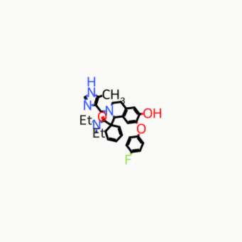 CCN(CC)C(=O)C1(C2c3cc(Oc4ccc(F)cc4)c(O)cc3CCN2Cc2nc[nH]c2C)C=CC=CC1